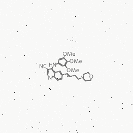 COc1cc(Nc2c(C#N)cnc3ccc(/C=C/CCN4CCOCC4)cc23)cc(OC)c1OC